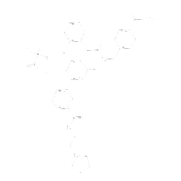 COC(=O)c1ccc(CN(Cc2cccc(-c3cccc(C(=O)NCCN4CCCC4)c3)c2)C(=O)Cc2ccccc2Br)cc1.O=C(O)C(F)(F)F